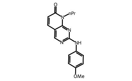 CCCn1c(=O)ccc2cnc(Nc3ccc(OC)cc3)nc21